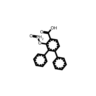 O=[PH2]Oc1c(C(=O)O)ccc(-c2ccccc2)c1-c1ccccc1